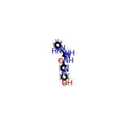 O=C(Nc1cc(-c2nc3ccccc3[nH]2)[nH]n1)c1ccc(N2CCC(O)CC2)nc1